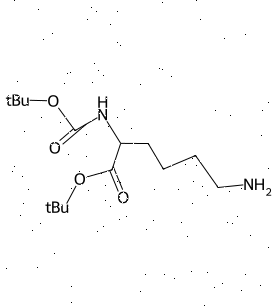 CC(C)(C)OC(=O)NC(CCCCN)C(=O)OC(C)(C)C